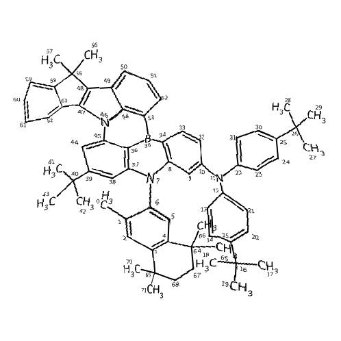 Cc1cc2c(cc1N1c3cc(N(c4ccc(C(C)(C)C)cc4)c4ccc(C(C)(C)C)cc4)ccc3B3c4c1cc(C(C)(C)C)cc4-n1c4c(c5cccc3c51)C(C)(C)c1ccccc1-4)C(C)(C)CCC2(C)C